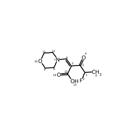 CC(F)C(=O)C(=CN1CCOCC1)C(=O)O